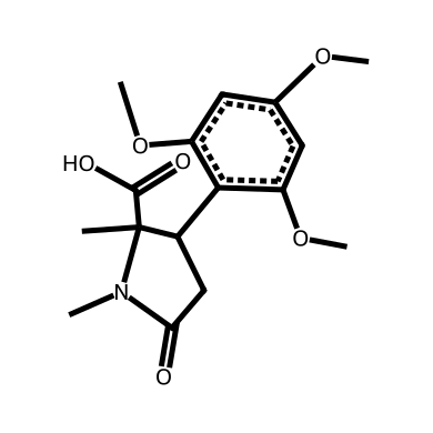 COc1cc(OC)c(C2CC(=O)N(C)C2(C)C(=O)O)c(OC)c1